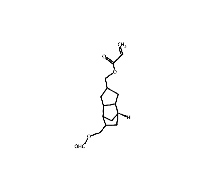 C=CC(=O)OCC1CC2C3C[C@@H](CC3COC=O)C2C1